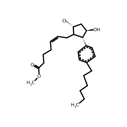 CCCCCCc1ccc([C@@H]2C(C/C=C\CCCC(=O)OC)[C@H](Cl)C[C@H]2O)cc1